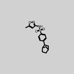 Cc1cc(NS(=O)(=O)c2ccc(C3CC4CCC3C4)cc2)no1